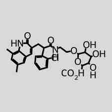 Cc1cc(C)c2[nH]c(=O)c(CC(C(=O)NCCOC3OC(C(=O)O)C(O)C(O)C3O)c3ccccc3Cl)cc2c1